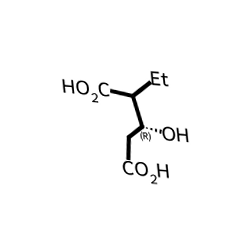 CCC(C(=O)O)[C@H](O)CC(=O)O